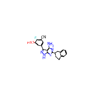 N#Cc1cc(-c2n[nH]c3nc(C4CCc5ccccc5C4)nc(N)c23)cc(O)c1F